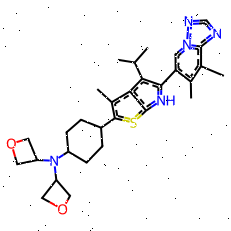 Cc1c(-c2[nH]c3sc(C4CCC(N(C5COC5)C5COC5)CC4)c(C)c3c2C(C)C)cn2ncnc2c1C